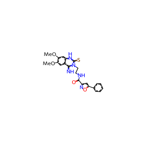 COc1cc2[nH]c(=S)n(CCNC(=O)c3cc(-c4ccccc4)on3)c(=N)c2cc1OC